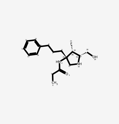 CCC(=O)N[C@@]1(CCCc2ccccc2)CN[C@@H](CO)[C@H]1F